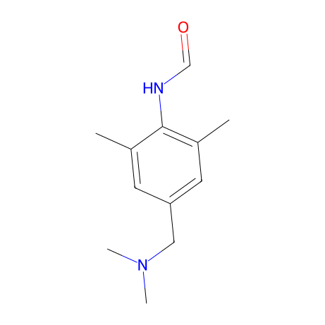 Cc1cc(CN(C)C)cc(C)c1NC=O